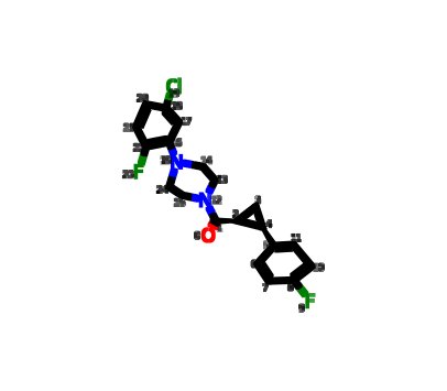 O=C([C@H]1C[C@H]1c1ccc(F)cc1)N1CCN(c2cc(Cl)ccc2F)CC1